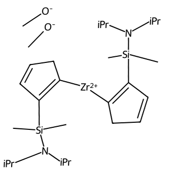 CC(C)N(C(C)C)[Si](C)(C)C1=[C]([Zr+2][C]2=C([Si](C)(C)N(C(C)C)C(C)C)C=CC2)CC=C1.C[O-].C[O-]